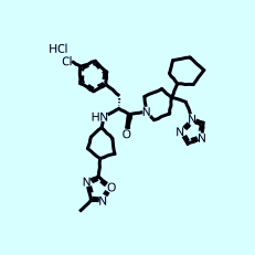 Cc1noc(C2CCC(N[C@H](Cc3ccc(Cl)cc3)C(=O)N3CCC(Cn4cncn4)(C4CCCCC4)CC3)CC2)n1.Cl